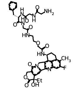 CC[C@@]1(O)C(=O)OCc2c1cc1n(c2=O)Cc2c-1nc1cc(F)c(C)c3c1c2[C@@H](NC(=O)COCCNC(=O)CNC(=O)[C@H](Cc1ccccc1)NC(=O)CNC(=O)CN)CC3